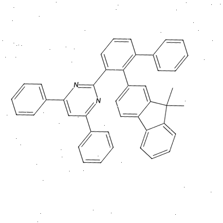 CC1(C)c2ccccc2-c2ccc(-c3c(-c4ccccc4)cccc3-c3nc(-c4ccccc4)cc(-c4ccccc4)n3)cc21